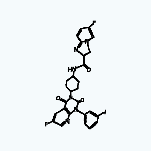 O=C(NC1CCC(n2c(=O)c3cc(F)cnc3n(-c3cccc(I)c3)c2=O)CC1)C1CN2C=C(F)C=CC2=N1